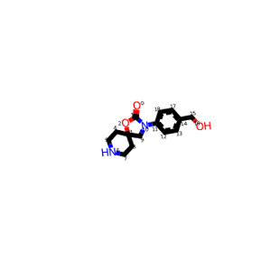 O=C1OC2(CCNCC2)CN1c1ccc(CO)cc1